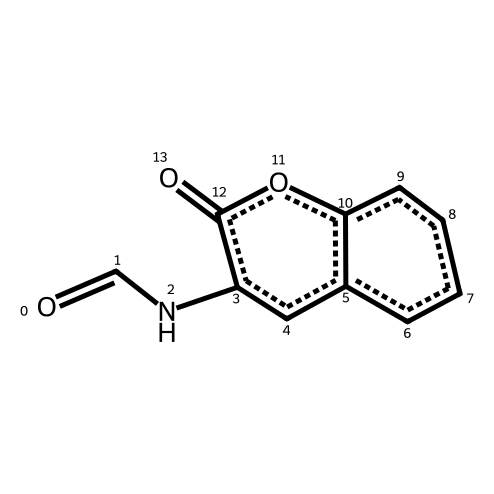 O=CNc1cc2ccccc2oc1=O